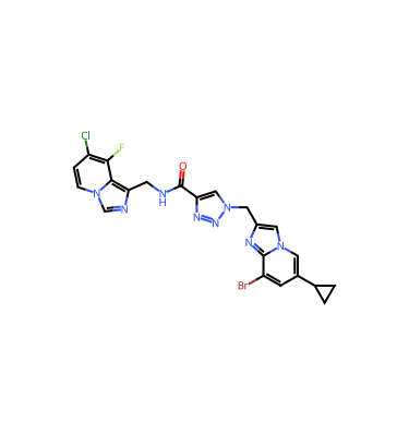 O=C(NCc1ncn2ccc(Cl)c(F)c12)c1cn(Cc2cn3cc(C4CC4)cc(Br)c3n2)nn1